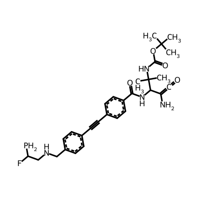 CC(C)(C)OC(=O)NC(C)(C)C(NC(=O)c1ccc(C#Cc2ccc(CNCC(F)P)cc2)cc1)C(N)=C=O